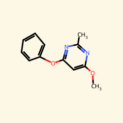 COc1cc(Oc2ccccc2)nc(C)n1